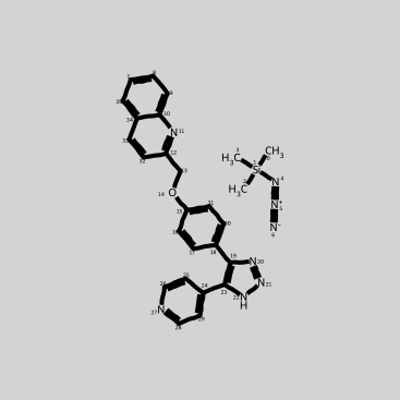 C[Si](C)(C)N=[N+]=[N-].c1ccc2nc(COc3ccc(-c4nn[nH]c4-c4ccncc4)cc3)ccc2c1